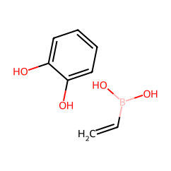 C=CB(O)O.Oc1ccccc1O